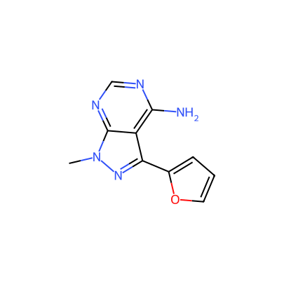 Cn1nc(-c2ccco2)c2c(N)ncnc21